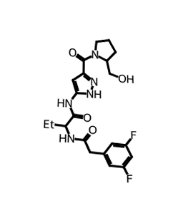 CCC(NC(=O)Cc1cc(F)cc(F)c1)C(=O)Nc1cc(C(=O)N2CCCC2CO)n[nH]1